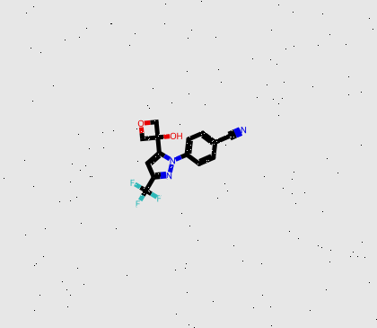 N#Cc1ccc(-n2nc(C(F)(F)F)cc2C2(O)COC2)cc1